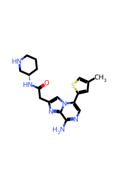 Cc1csc(-c2cnc(N)c3nc(CC(=O)N[C@H]4CCCNC4)cn23)c1